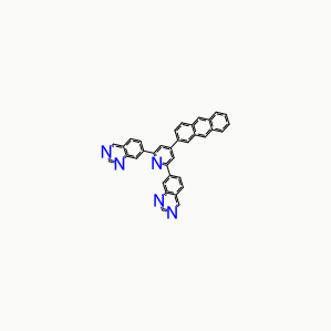 c1ccc2cc3cc(-c4cc(-c5ccc6cncnc6c5)nc(-c5ccc6cncnc6c5)c4)ccc3cc2c1